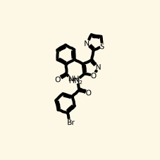 NC(=O)c1ccccc1-c1c(-c2nccs2)noc1NC(=O)c1cccc(Br)c1